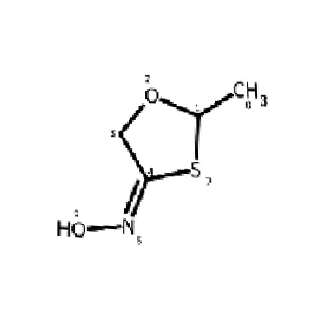 CC1OCC(=NO)S1